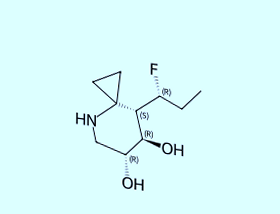 CC[C@@H](F)[C@@H]1[C@@H](O)[C@H](O)CNC12CC2